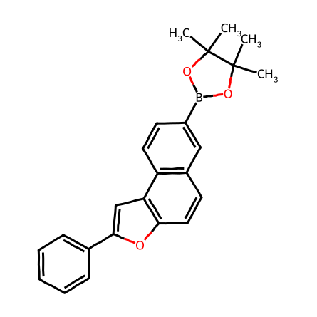 CC1(C)OB(c2ccc3c(ccc4oc(-c5ccccc5)cc43)c2)OC1(C)C